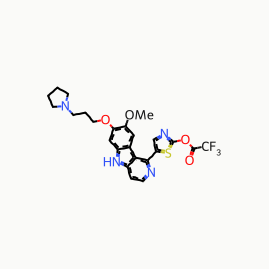 COc1cc2c(cc1OCCCN1CCCC1)[nH]c1ccnc(-c3cnc(OC(=O)C(F)(F)F)s3)c12